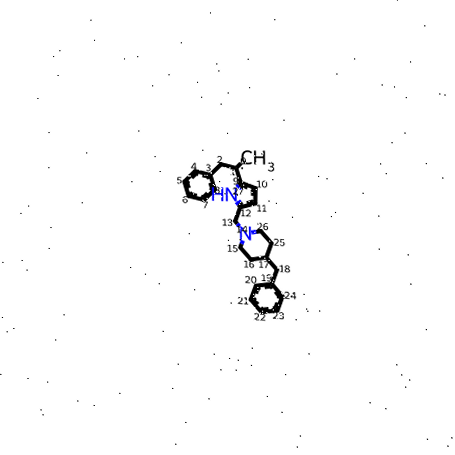 C[C](Cc1ccccc1)c1ccc(CN2CCC(Cc3ccccc3)CC2)[nH]1